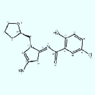 CC(C)(C)c1cn(C[C@H]2CCCO2)/c(=N/C(=O)c2cc(Cl)ccc2O)s1